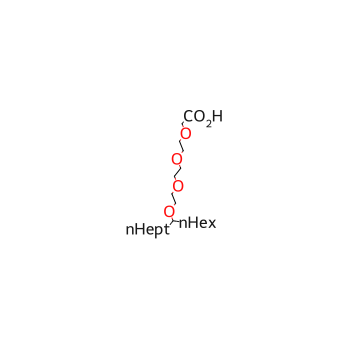 CCCCCCCC(CCCCCC)OCCOCCOCCOCC(=O)O